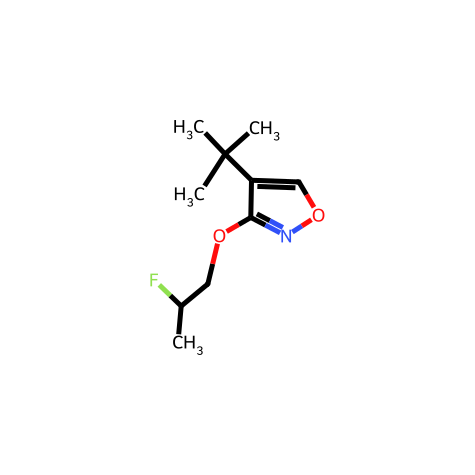 CC(F)COc1nocc1C(C)(C)C